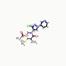 CSCC(C)C(=O)N(COC(C)=O)c1cn(-c2cccnc2)nc1Cl